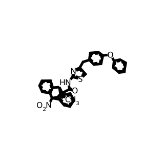 CC1(C(=O)Nc2nc(Cc3ccc(Oc4ccccc4)cc3)cs2)CC2([N+](=O)[O-])c3ccccc3C1c1ccccc12